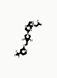 FC(F)Cn1ncc2ncc(N3C[C@@H]4C(COc5cc(C(F)(F)F)ccn5)[C@@H]4C3)nc21